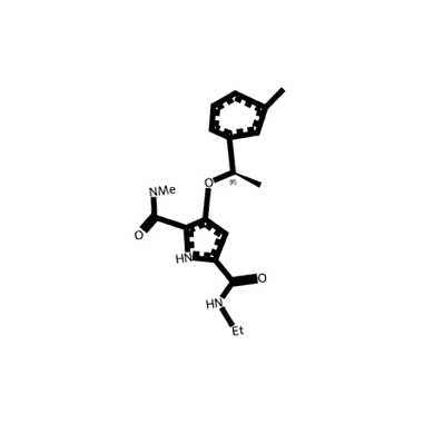 CCNC(=O)c1cc(O[C@H](C)c2cccc(C)c2)c(C(=O)NC)[nH]1